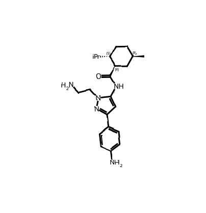 CC(C)[C@@H]1CC[C@@H](C)C[C@H]1C(=O)Nc1cc(-c2ccc(N)cc2)nn1CCN